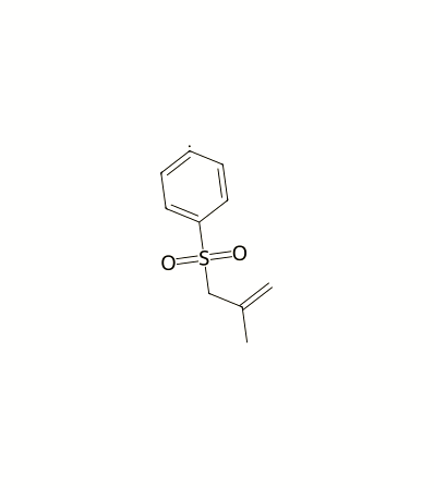 C=C(C)CS(=O)(=O)c1cc[c]cc1